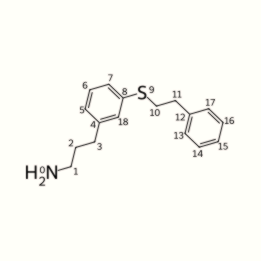 NCCCc1cccc(SCCc2ccccc2)c1